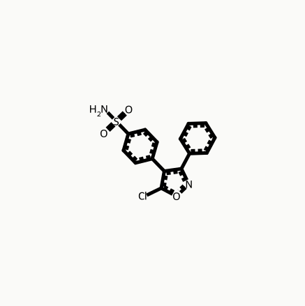 NS(=O)(=O)c1ccc(-c2c(-c3ccccc3)noc2Cl)cc1